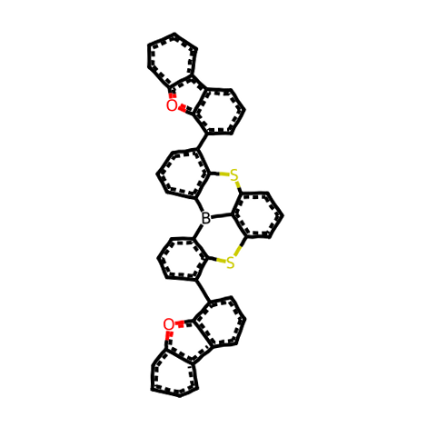 c1cc2c3c(c1)Sc1c(cccc1-c1cccc4c1oc1ccccc14)B3c1cccc(-c3cccc4c3oc3ccccc34)c1S2